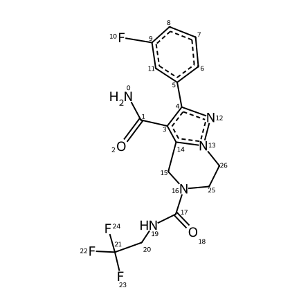 NC(=O)c1c(-c2cccc(F)c2)nn2c1CN(C(=O)NCC(F)(F)F)CC2